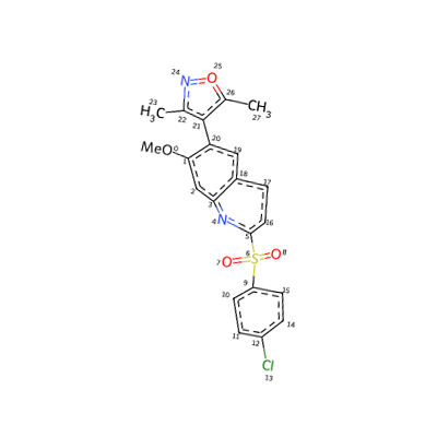 COc1cc2nc(S(=O)(=O)c3ccc(Cl)cc3)ccc2cc1-c1c(C)noc1C